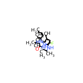 C#Cc1cc(F)c(NC(C)C(C)NC(=O)CC(C)(C)C)nc1NC(/C=C\C=C)=C/C